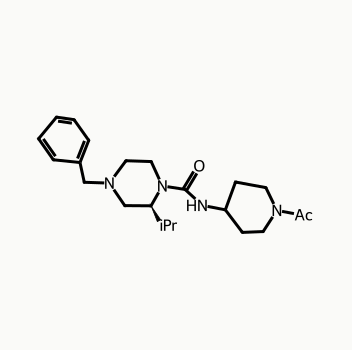 CC(=O)N1CCC(NC(=O)N2CCN(Cc3ccccc3)C[C@@H]2C(C)C)CC1